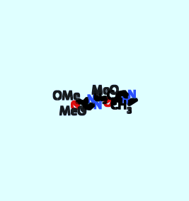 COC(=O)c1cn2cc(COC(C)(C)c3cn4ccnc4cc3OC)nc2cc1OC